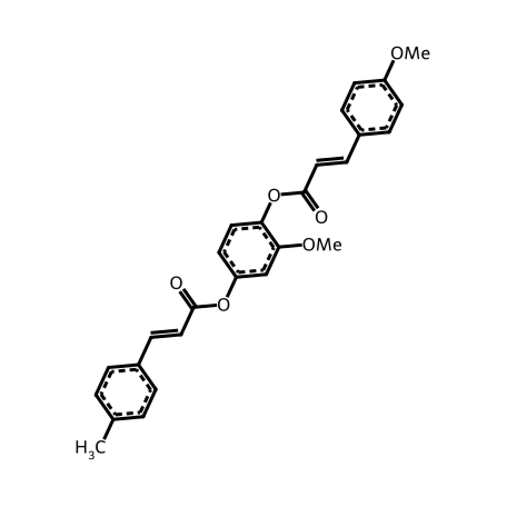 COc1ccc(/C=C/C(=O)Oc2ccc(OC(=O)/C=C/c3ccc(C)cc3)cc2OC)cc1